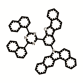 c1ccc2cc3c(cc2c1)c1c2ccccc2ccc1n3-c1cc(-c2nc(-c3cccc4ccccc34)nc(-c3cccc4ccccc34)n2)c2oc3c4ccccc4ccc3c2c1